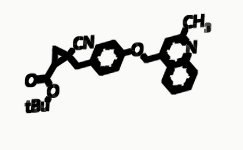 Cc1cc(COc2ccc(CC3(C#N)CC3C(=O)OC(C)(C)C)cc2)c2ccccc2n1